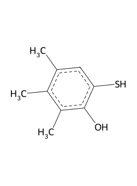 Cc1cc(S)c(O)c(C)c1C